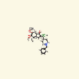 COC1=C(OC)CC2C(=O)C(CC3CCN(Cc4ccccc4)CC3)CC2=C1.Cl